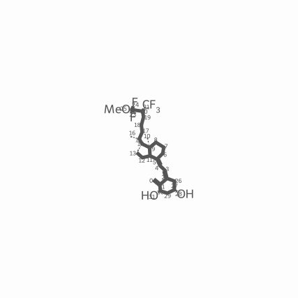 C=C1/C(=C\C=C2CCC[C@@]3(C)C2CC[C@@H]3[C@H](C)CCCC(C(F)(F)F)C(F)(F)OC)C[C@@H](O)C[C@H]1O